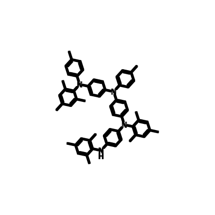 Cc1ccc(N(c2ccc(N(c3ccc(C)cc3)c3c(C)cc(C)cc3C)cc2)c2ccc(N(c3ccc(Nc4c(C)cc(C)cc4C)cc3)c3c(C)cc(C)cc3C)cc2)cc1